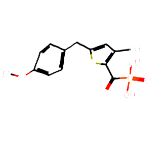 CCOc1ccc(Cc2cc(C)c(C(=O)P(=O)(O)O)s2)cc1